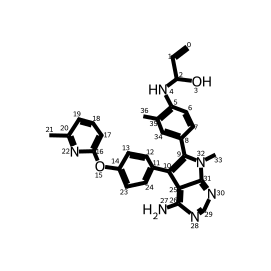 C=CC(O)Nc1ccc(-c2c(-c3ccc(Oc4cccc(C)n4)cc3)c3c(N)ncnc3n2C)cc1C